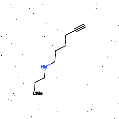 C#CCCCCNCCOC